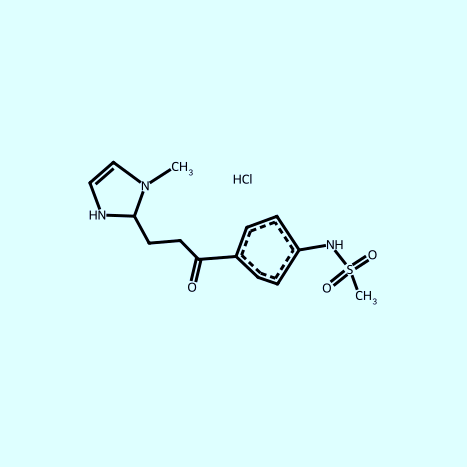 CN1C=CNC1CCC(=O)c1ccc(NS(C)(=O)=O)cc1.Cl